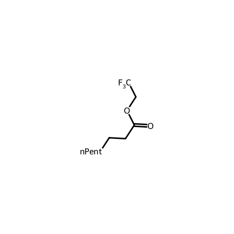 CCCCCCCC(=O)OCC(F)(F)F